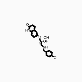 Cl.O=c1ccc2cc(OC[C@H](O)CNCc3ccc(Cl)cc3)ccc2[nH]1